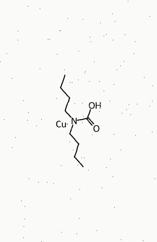 CCCCN(CCCC)C(=O)O.[Cu]